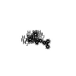 Bc1c(B)c(B)c(-c2nc(-c3c(B)c(B)c(B)c(B)c3B)nc(-c3cccc4c3oc3ccc(-c5ccc6c(c5)c5ccccc5n6-c5ccccc5)cc34)n2)c(B)c1B